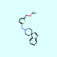 CC(C)(C)OCc1ccc(CN2CCC3(C=Cc4ccccc43)CC2)s1